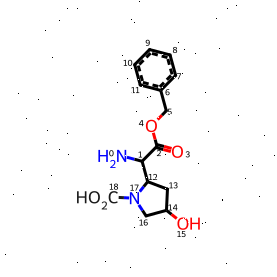 NC(C(=O)OCc1ccccc1)C1CC(O)CN1C(=O)O